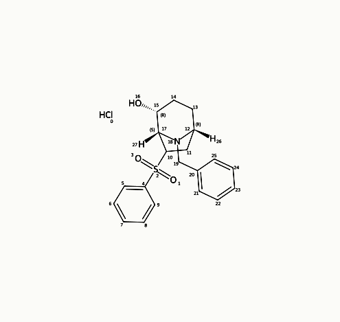 Cl.O=S(=O)(c1ccccc1)C1C[C@H]2CC[C@@H](O)[C@@H]1N2Cc1ccccc1